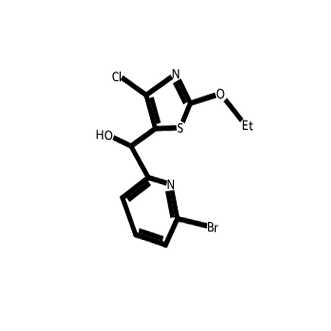 CCOc1nc(Cl)c(C(O)c2cccc(Br)n2)s1